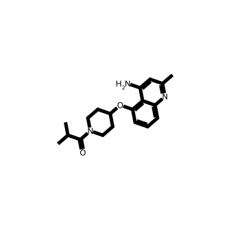 Cc1cc(N)c2c(OC3CCN(C(=O)C(C)C)CC3)cccc2n1